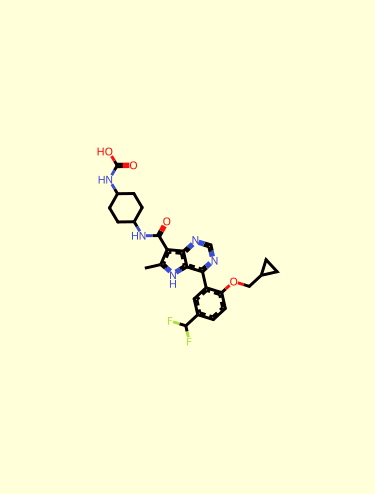 Cc1[nH]c2c(-c3cc(C(F)F)ccc3OCC3CC3)ncnc2c1C(=O)NC1CCC(NC(=O)O)CC1